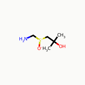 CC(C)(O)C[S+]([O-])CN